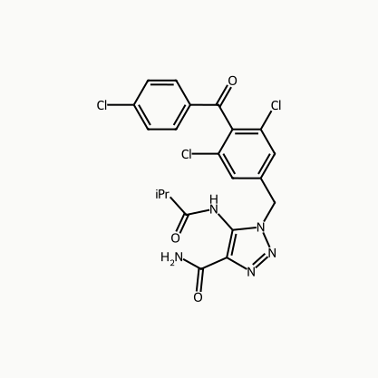 CC(C)C(=O)Nc1c(C(N)=O)nnn1Cc1cc(Cl)c(C(=O)c2ccc(Cl)cc2)c(Cl)c1